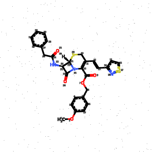 COc1ccc(COC(=O)C2=C(C=Cc3ccsn3)CS[C@H]3[C@H](NC(=O)Cc4ccccc4)C(=O)N23)cc1